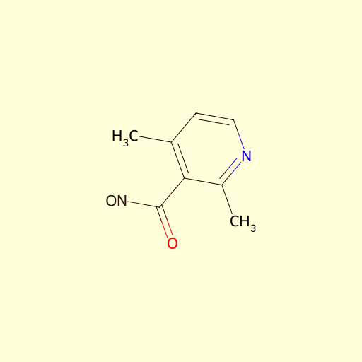 Cc1ccnc(C)c1C(=O)N=O